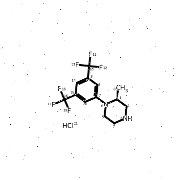 C[C@H]1CNCCN1c1cc(C(F)(F)F)cc(C(F)(F)F)c1.Cl